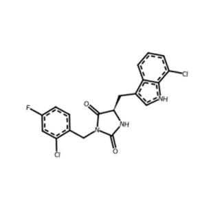 O=C1N[C@H](Cc2c[nH]c3c(Cl)cccc23)C(=O)N1Cc1ccc(F)cc1Cl